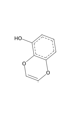 Oc1cccc2c1OC=[C]O2